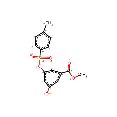 COC(=O)c1cc(O)cc(OS(=O)(=O)c2ccc(C)cc2)c1